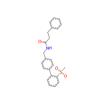 CS(=O)(=O)c1ccccc1-c1ccc(CNC(=O)CCc2ccccc2)cc1